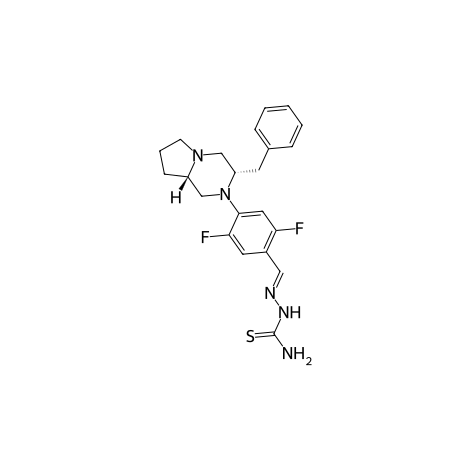 NC(=S)N/N=C/c1cc(F)c(N2C[C@@H]3CCCN3C[C@@H]2Cc2ccccc2)cc1F